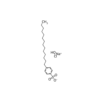 CCCCCCCCCCCCCCc1ccc(S(=O)(=O)[O-])cc1.OCl.[Na+]